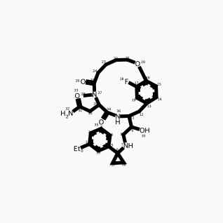 CCc1cccc(C2(NCC(O)C3Cc4ccc(c(F)c4)OCCCCC(=O)N(C)C(CC(N)=O)C(=O)N3)CC2)c1